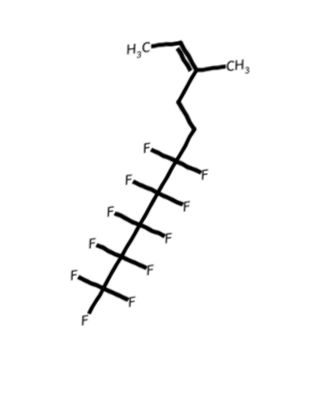 CC=C(C)CCC(F)(F)C(F)(F)C(F)(F)C(F)(F)C(F)(F)F